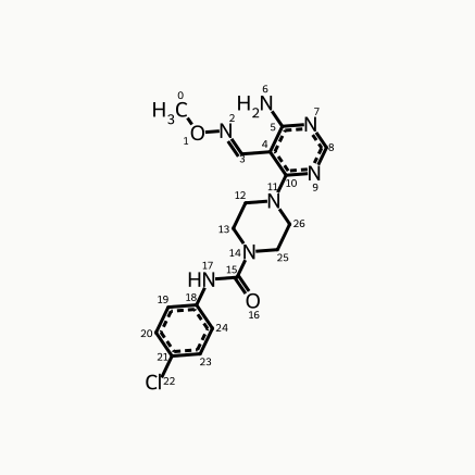 CON=Cc1c(N)ncnc1N1CCN(C(=O)Nc2ccc(Cl)cc2)CC1